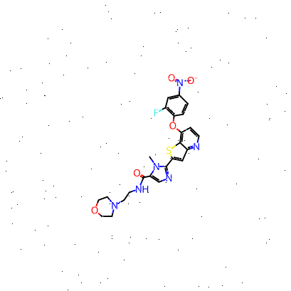 Cn1c(C(=O)NCCN2CCOCC2)cnc1-c1cc2nccc(Oc3ccc([N+](=O)[O-])cc3F)c2s1